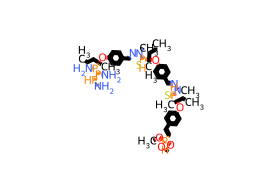 CCCC(C)(Oc1ccc(/C=N/N(C)[PH](=S)C(C)(CCC)Oc2ccc(/C=N/N(C)[PH](=S)C(C)(CC)Oc3ccc(/C=C/[PH]4(OC)OCO4)cc3)cc2)cc1)P(N)P(N)PN